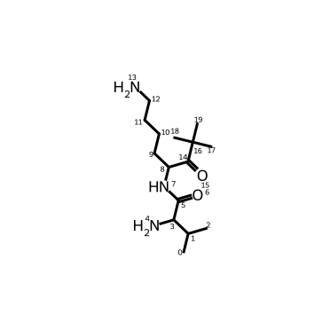 CC(C)C(N)C(=O)NC(CCCCN)C(=O)C(C)(C)C